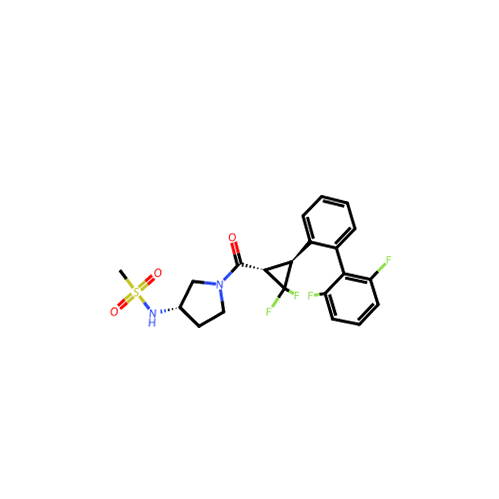 CS(=O)(=O)N[C@H]1CCN(C(=O)[C@@H]2[C@@H](c3ccccc3-c3c(F)cccc3F)C2(F)F)C1